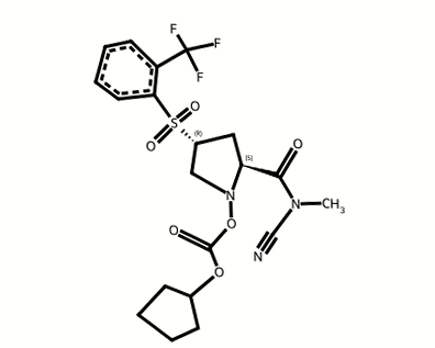 CN(C#N)C(=O)[C@@H]1C[C@@H](S(=O)(=O)c2ccccc2C(F)(F)F)CN1OC(=O)OC1CCCC1